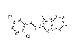 Cn1c(C=Cc2cc(F)ccc2O)cc2ccccc21